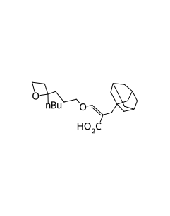 CCCCC1(CCCOC=C(CC23CC4CC(CC(C4)C2)C3)C(=O)O)CCO1